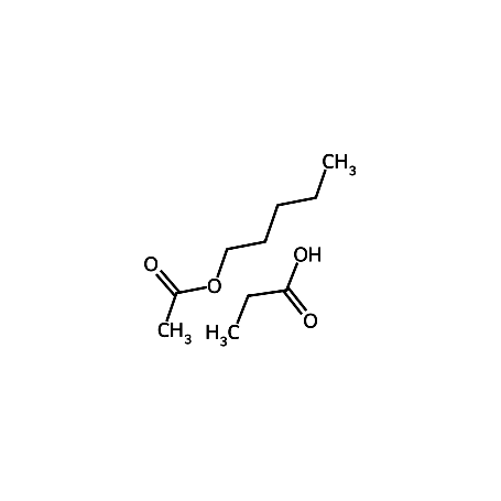 CCC(=O)O.CCCCCOC(C)=O